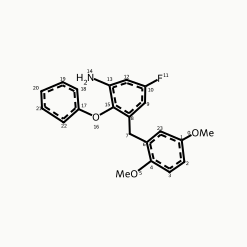 COc1ccc(OC)c(Cc2cc(F)cc(N)c2Oc2ccccc2)c1